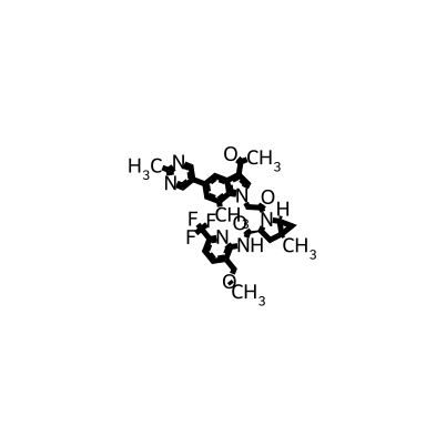 COCc1ccc(C(F)(F)F)nc1NC(=O)[C@@H]1C[C@@]2(C)C[C@H]2N1C(=O)Cn1cc(C(C)=O)c2cc(-c3cnc(C)nc3)cc(C)c21